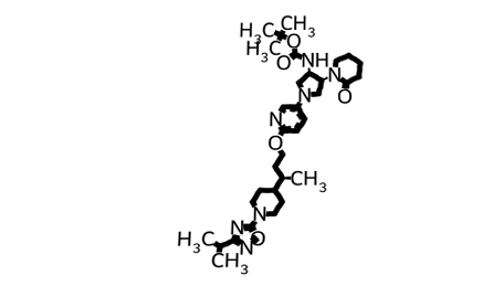 CC(C)c1noc(N2CCC([C@H](C)CCOc3ccc(N4C[C@H](NC(=O)OC(C)(C)C)[C@H](N5CCCCC5=O)C4)cn3)CC2)n1